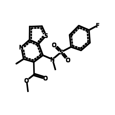 COC(=O)c1c(C)nc2ccsc2c1N(C)S(=O)(=O)c1ccc(F)cc1